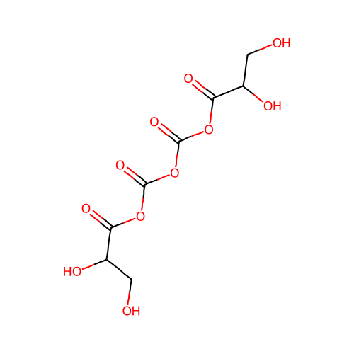 O=C(OC(=O)OC(=O)C(O)CO)OC(=O)C(O)CO